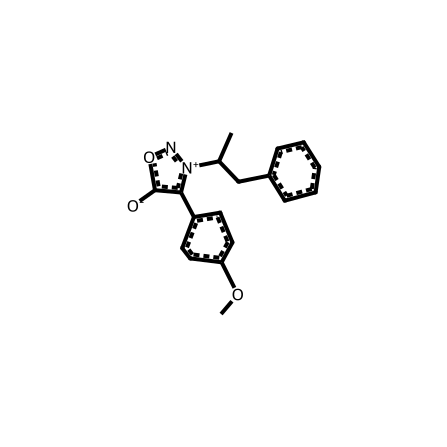 COc1ccc(-c2c([O-])on[n+]2C(C)Cc2ccccc2)cc1